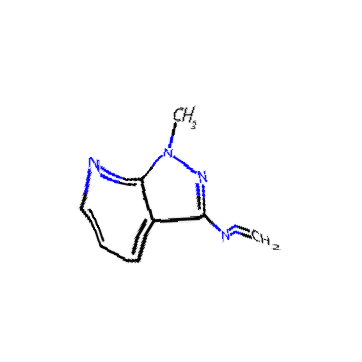 C=Nc1nn(C)c2ncccc12